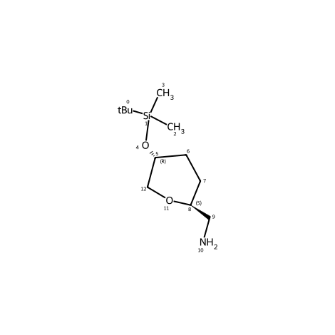 CC(C)(C)[Si](C)(C)O[C@@H]1CC[C@@H](CN)OC1